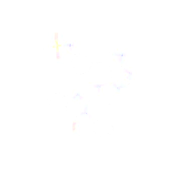 Cc1cccc2nc(C(C)Nc3ncnc4[nH]cc(-c5cccc(NS(C)(=O)=O)c5)c34)n(-c3ccccc3)c(=O)c12